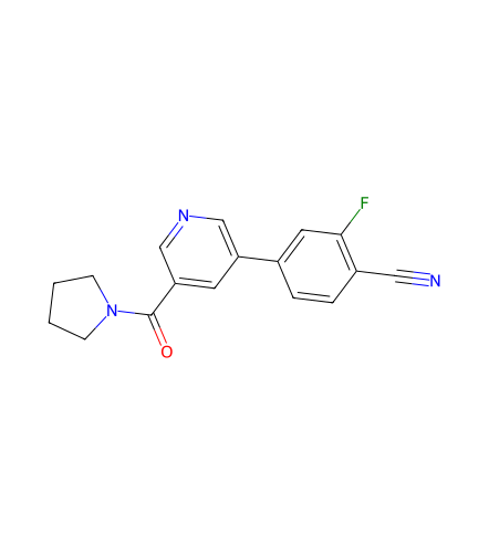 N#Cc1ccc(-c2cncc(C(=O)N3CCCC3)c2)cc1F